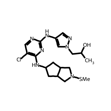 CSN1CC2CC(Nc3nc(Nc4cnn(CC(C)O)c4)ncc3Cl)CC2C1